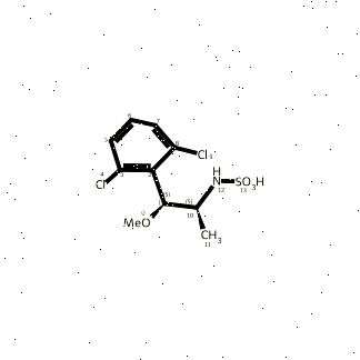 CO[C@@H](c1c(Cl)cccc1Cl)[C@H](C)NS(=O)(=O)O